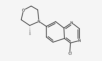 C[C@@H]1COCCN1c1ccc2c(Cl)ncnc2c1